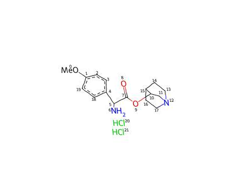 COc1ccc(C(N)C(=O)OC2CN3CCC2CC3)cc1.Cl.Cl